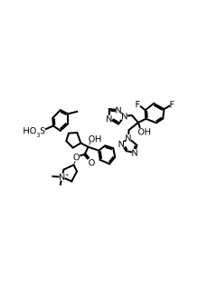 C[N+]1(C)CC[C@@H](OC(=O)[C@](O)(c2ccccc2)C2CCCC2)C1.Cc1ccc(S(=O)(=O)O)cc1.OC(Cn1cncn1)(Cn1cncn1)c1ccc(F)cc1F